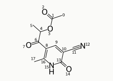 CC(=O)OC(C)C(=O)c1cc(C#N)c(=O)[nH]c1C